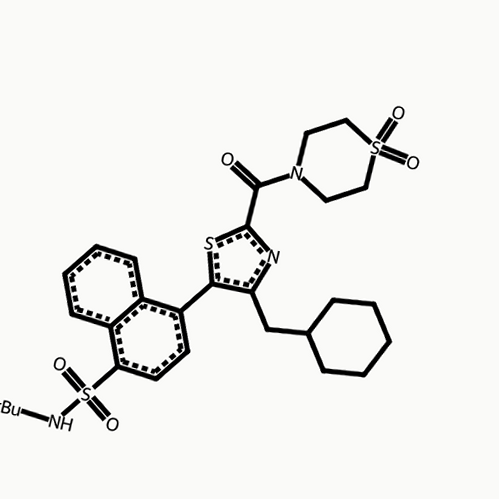 CC(C)(C)NS(=O)(=O)c1ccc(-c2sc(C(=O)N3CCS(=O)(=O)CC3)nc2CC2CCCCC2)c2ccccc12